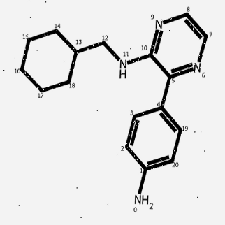 Nc1ccc(-c2nccnc2NCC2CCCCC2)cc1